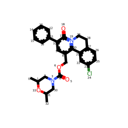 CC1CN(C(=O)OCc2cc(-c3ccccc3)c(=O)n3c2-c2cc(Cl)ccc2CC3)CC(C)O1